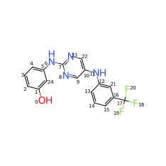 Oc1cccc(Nc2ncc(Nc3cccc(C(F)(F)F)c3)cn2)c1